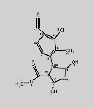 COC(=O)[C@H]1[C@@H](C)OC(O)N1c1ccc(C#N)c(Cl)c1C